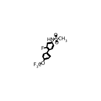 CS(=O)(=O)Nc1ccc(-c2ccc(OC(F)(F)F)cc2)c(F)c1